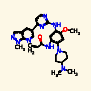 C=CC(=O)Nc1cc(Nc2nccc(-c3cnc4c(cnn4C)c3)n2)c(OC)cc1N1CCC(N(C)C)CC1